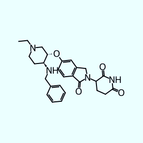 CCN1CC[C@H](NCc2ccccc2)[C@@H](Oc2ccc3c(c2)CN(C2CCC(=O)NC2=O)C3=O)C1